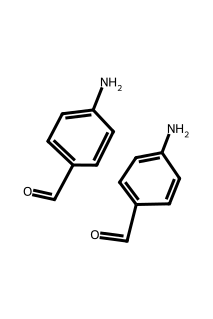 Nc1ccc(C=O)cc1.Nc1ccc(C=O)cc1